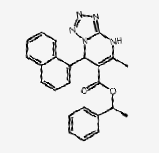 CC1=C(C(=O)O[C@@H](C)c2ccccc2)C(c2cccc3ccccc23)n2nnnc2N1